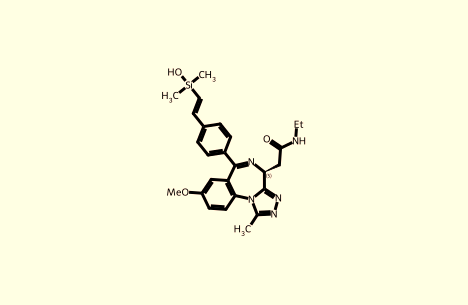 CCNC(=O)C[C@@H]1N=C(c2ccc(C=C[Si](C)(C)O)cc2)c2cc(OC)ccc2-n2c(C)nnc21